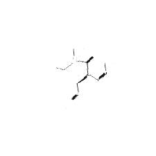 C=C/C=C(\C=C/C)C(=O)N(C)CC